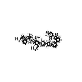 CCc1cc(Nc2ncc(Cl)c(Nc3ccccc3P(C)(C)=O)n2)c(OC)cc1N1CCC(N2CCN(c3cccc(-c4cccc5c4CN(C4CCC(=O)NC4=O)C5=O)n3)CC2)CC1